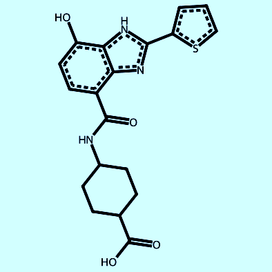 O=C(NC1CCC(C(=O)O)CC1)c1ccc(O)c2[nH]c(-c3cccs3)nc12